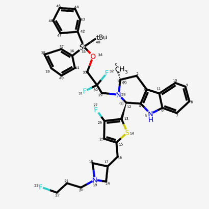 C[C@@H]1Cc2c([nH]c3ccccc23)[C@@H](c2sc(CC3CN(CCCF)C3)cc2F)N1CC(F)(F)CO[Si](c1ccccc1)(c1ccccc1)C(C)(C)C